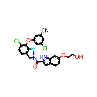 N#Cc1cc(Cl)cc(Oc2c(Cl)ccc(CNC(=O)c3cc4ccc(OCCO)cc4[nH]3)c2F)c1